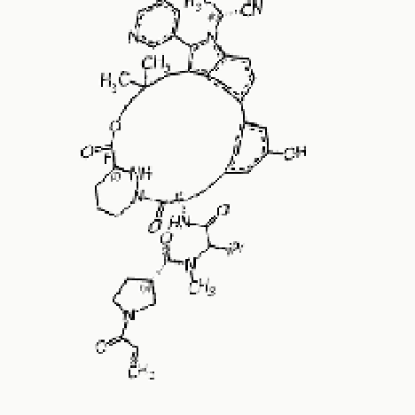 C=CC(=O)N1CC[C@H](C(=O)N(C)C(C(=O)N[C@H]2Cc3cc(O)cc(c3)-c3ccc4c(c3)c(c(-c3cccnc3)n4[C@H](C)C#N)CC(C)(C)COC(=O)[C@@H]3CCCN(N3)C2=O)C(C)C)C1